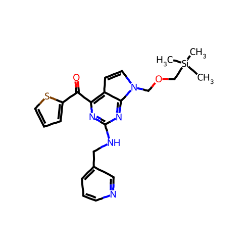 C[Si](C)(C)COCn1ccc2c(C(=O)c3cccs3)nc(NCc3cccnc3)nc21